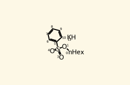 CCCCCCOS(=O)(=O)c1ccccc1.[KH]